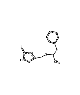 CC(Oc1ccccc1)SCc1n[nH]c(=S)[nH]1